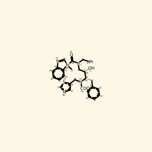 CC(C)CN(C[C@H](O)[C@H](Cc1ccccc1)N(Cc1cncs1)C(=O)[O-])C(=O)[N+]1(C)C=Nc2ccccc21